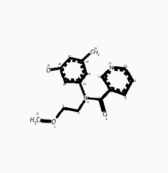 COCCN(C(=O)c1cccnc1)c1cc(C)cc(Cl)c1